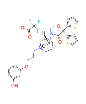 O=C(N[C@H]1C[N+]2(CCCOc3cccc(O)c3)CCC1CC2)C(O)(c1cccs1)c1cccs1.O=C([O-])C(F)(F)F